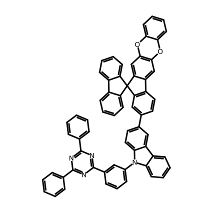 c1ccc(-c2nc(-c3ccccc3)nc(-c3cccc(-n4c5ccccc5c5cc(-c6ccc7c(c6)C6(c8ccccc8-c8ccccc86)c6cc8c(cc6-7)Oc6ccccc6O8)ccc54)c3)n2)cc1